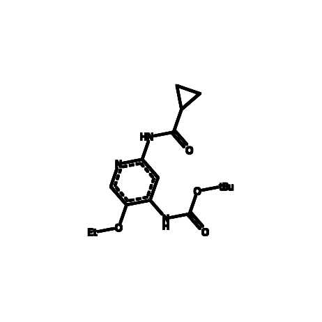 CCOc1cnc(NC(=O)C2CC2)cc1NC(=O)OC(C)(C)C